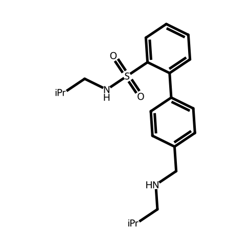 CC(C)CNCc1ccc(-c2ccccc2S(=O)(=O)NCC(C)C)cc1